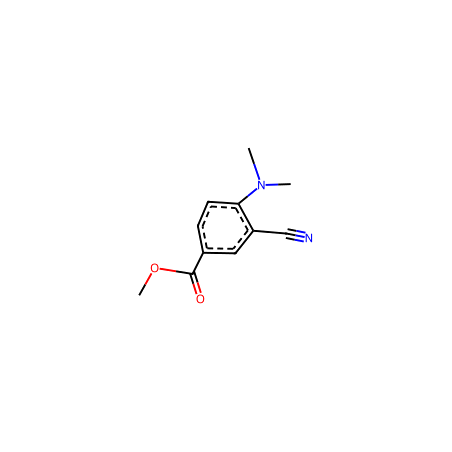 COC(=O)c1ccc(N(C)C)c(C#N)c1